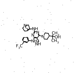 CC(C)(O)C1CCN(c2nc(NC3CN4CCC3CC4)nc(Nc3cccc(C(F)(F)F)c3)c2C=N)CC1